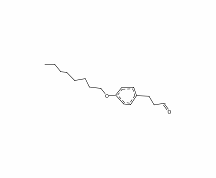 CCCCCCCCOc1ccc(CC[C]=O)cc1